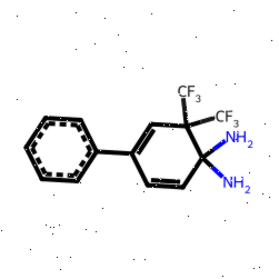 NC1(N)C=CC(c2ccccc2)=CC1(C(F)(F)F)C(F)(F)F